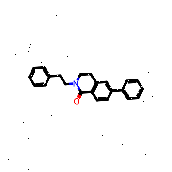 O=C1c2ccc(-c3ccccc3)cc2CCN1CCc1ccccc1